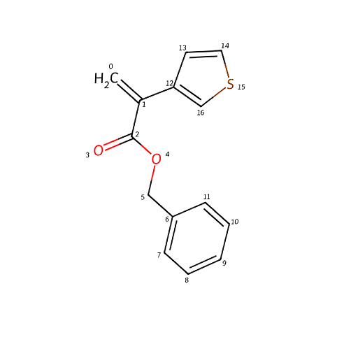 C=C(C(=O)OCc1ccccc1)c1ccsc1